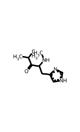 CNC(Cc1c[nH]cn1)C(=O)C(C)C